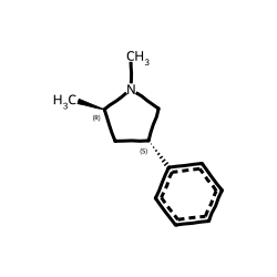 C[C@@H]1C[C@@H](c2ccccc2)CN1C